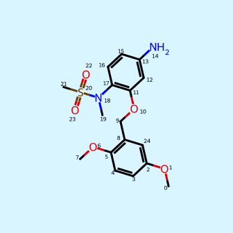 COc1ccc(OC)c(COc2cc(N)ccc2N(C)S(C)(=O)=O)c1